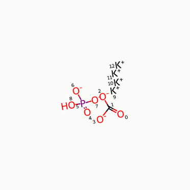 O=C([O-])[O-].O=P([O-])([O-])O.[K+].[K+].[K+].[K+]